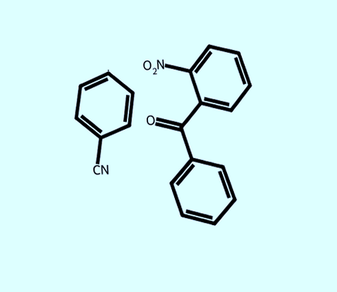 N#Cc1cc[c]cc1.O=C(c1ccccc1)c1ccccc1[N+](=O)[O-]